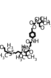 CC(C)C(NC(=O)CCSSC(C)(C)CC=O)C(=O)NCC(=O)Nc1ccc(COC(=O)N(C)C(C=O)C(C)C)cc1